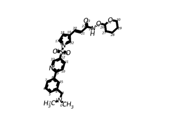 CN(C)Cc1cccc(-c2ccc(S(=O)(=O)n3ccc(C=CC(=O)NOC4CCCCO4)c3)cn2)c1